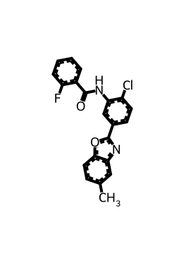 Cc1ccc2oc(-c3ccc(Cl)c(NC(=O)c4ccccc4F)c3)nc2c1